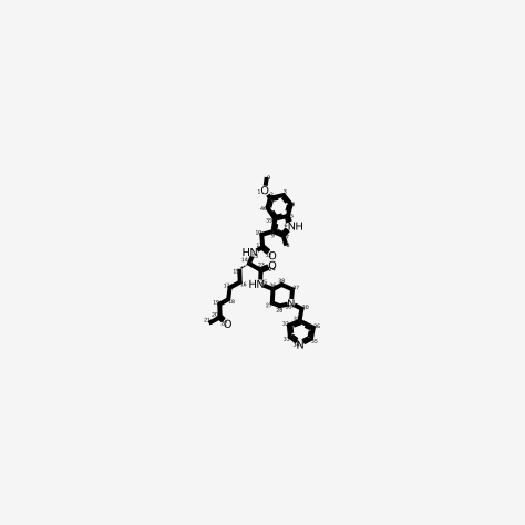 COc1ccc2[nH]c(C)c(CC(=O)N[C@@H](CCCCCC(C)=O)C(=O)NC3CCN(Cc4ccncc4)CC3)c2c1